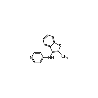 FC(F)(F)c1sc2ccccc2c1Nc1ccncc1